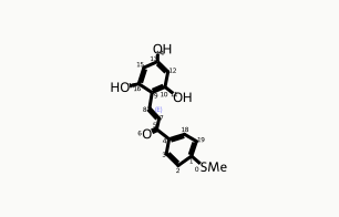 CSc1ccc(C(=O)/C=C/c2c(O)cc(O)cc2O)cc1